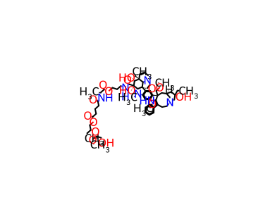 CCC(COC(=O)CCCC(=O)N[C@H](C)C(=O)OCCCNC(=O)[C@]1(O)C2N(C)c3cc(OC)c([C@@]4(C(=O)OC)C[C@@H]5C[N@](CCc6c4[nH]c4ccccc64)CC(O)(CC)C5)cc3[C@@]23CCN2CC=C[C@](CC)(C23)[C@H]1O)OC(CO)OC